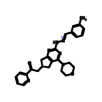 Cc1cccc(/C=N/Nc2nc3c(c(N4CCOCC4)n2)CC(CC(=O)c2ccccn2)C3)c1